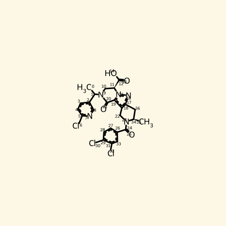 CC(c1ccc(Cl)nc1)N1C[C@@H](C(=O)O)n2nc3c(c2C1=O)CN(C(=O)c1ccc(Cl)c(Cl)c1)[C@H](C)C3